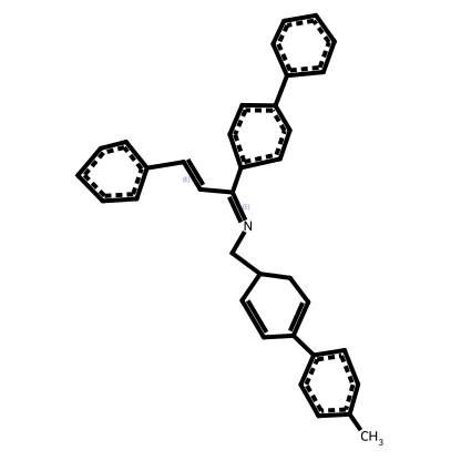 Cc1ccc(C2=CCC(C/N=C(\C=C\c3ccccc3)c3ccc(-c4ccccc4)cc3)C=C2)cc1